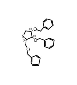 c1ccc(COC[C@@H]2SC[C@H](OCc3ccccc3)[C@H]2OCc2ccccc2)cc1